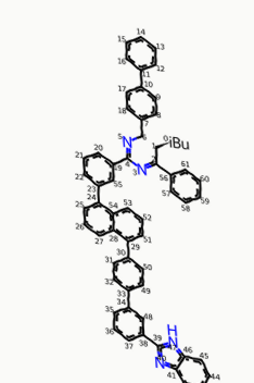 CC[C@H](C)C/C(=N\C(=N/Cc1ccc(-c2ccccc2)cc1)c1cccc(-c2cccc3c(-c4ccc(-c5cccc(-c6nc7ccccc7[nH]6)c5)cc4)cccc23)c1)c1ccccc1